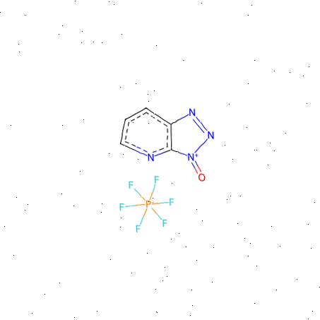 F[P-](F)(F)(F)(F)F.O=[N+]1N=Nc2cccnc21